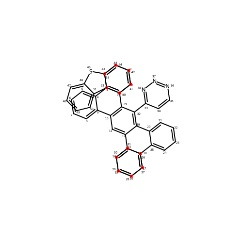 c1ccc(-c2ccccc2-c2cc(-c3ccccc3)c(-c3ccccc3-c3ccccc3)c(-c3ccnnn3)c2-c2cccc3sc4ccccc4c23)cc1